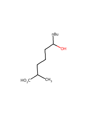 CCCCC(O)CCCC(C)C(=O)O